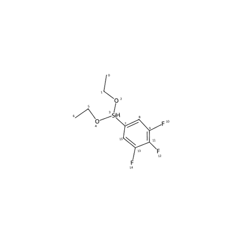 CCO[SiH](OCC)c1cc(F)c(F)c(F)c1